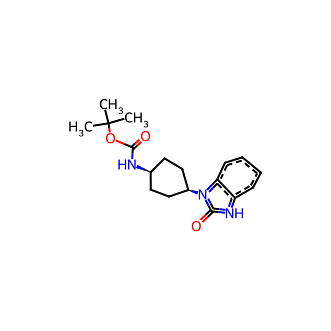 CC(C)(C)OC(=O)N[C@H]1CC[C@@H](n2c(=O)[nH]c3ccccc32)CC1